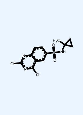 CC1(NS(=O)(=O)c2ccc3nc(Cl)nc(Cl)c3c2)CC1